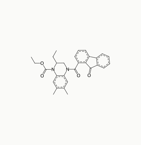 CCOC(=O)N1c2cc(C)c(C)cc2N(C(=O)c2cccc3c2C(=O)c2ccccc2-3)CC1CC